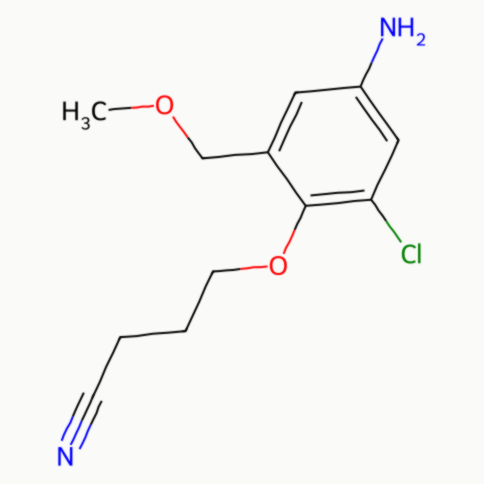 COCc1cc(N)cc(Cl)c1OCCCC#N